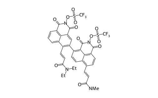 CCN(CC)C(=O)/C=C/c1c(-c2ccc3c(/C=C/C(=O)NC)ccc4c3c2C(=O)N(OS(=O)(=O)C(F)(F)F)C4=O)cc2c3c(cccc13)C(=O)N(OS(=O)(=O)C(F)(F)F)C2=O